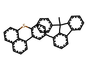 CC1(c2ccccc2)c2ccccc2-c2cccc(-c3ccc4c(c3)-c3cccc5cccc(c35)S4)c21